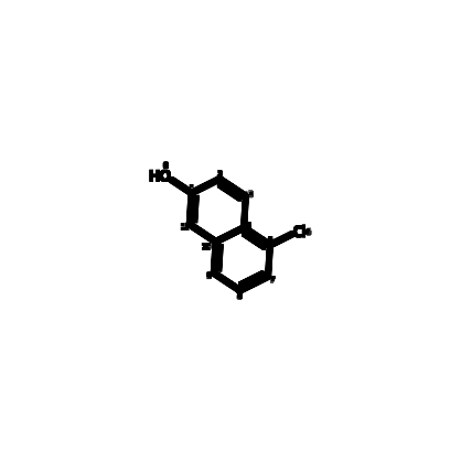 Oc1c[c]c2c(Cl)cccc2c1